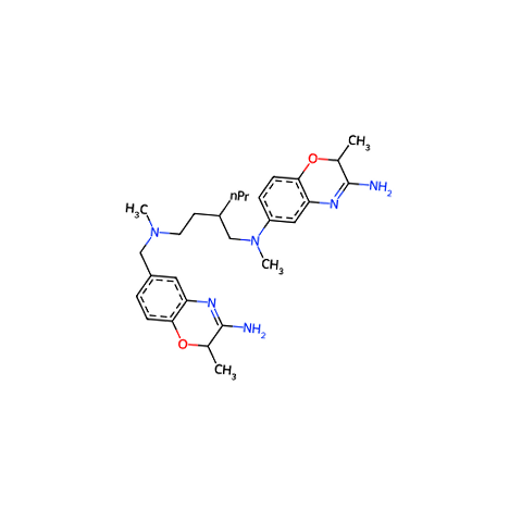 CCCC(CCN(C)Cc1ccc2c(c1)N=C(N)C(C)O2)CN(C)c1ccc2c(c1)N=C(N)C(C)O2